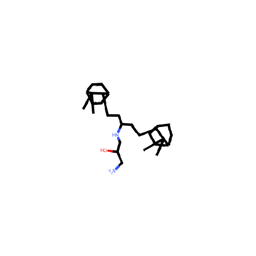 CC1(C)C2CCC(CC2)C1CCC(CCC1C2CCC(CC2)C1(C)C)NCC(O)CN